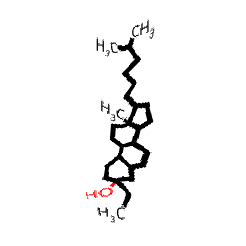 CC[C@]1(O)CCC2C(CCC3C2CC[C@]2(C)C(CCCCC(C)C)CCC32)C1